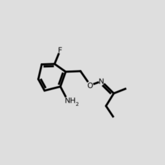 CCC(C)=NOCc1c(N)cccc1F